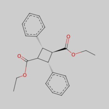 CCOC(=O)C1[C@H](c2ccccc2)[C@@H](C(=O)OCC)[C@@H]1c1ccccc1